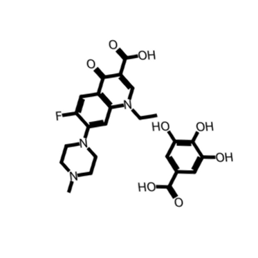 CCn1cc(C(=O)O)c(=O)c2cc(F)c(N3CCN(C)CC3)cc21.O=C(O)c1cc(O)c(O)c(O)c1